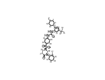 Cc1ccc(-n2nc(C(C)(C)C)cc2NC(=O)Nc2ccc(S(=O)(=O)N3CCC(=O)N(c4ccccc4C)C3)cc2)cc1